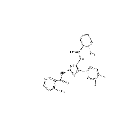 Cc1ccccc1C(=O)Nc1nc(NC(=O)c2ccccc2C)n(-c2ccc(F)c(F)c2)n1